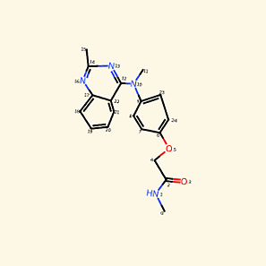 CNC(=O)COc1ccc(N(C)c2nc(C)nc3ccccc23)cc1